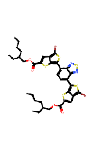 CCCCC(CC)COC(=O)c1cc2c(Br)sc(-c3ccc(-c4sc(Br)c5cc(C(=O)OCC(CC)CCCC)sc45)c4nsnc34)c2s1